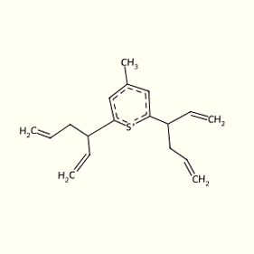 C=CCC(C=C)c1cc(C)cc(C(C=C)CC=C)[s+]1